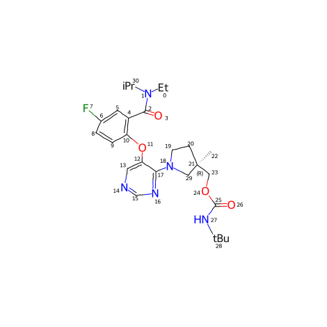 CCN(C(=O)c1cc(F)ccc1Oc1cncnc1N1CC[C@@](C)(COC(=O)NC(C)(C)C)C1)C(C)C